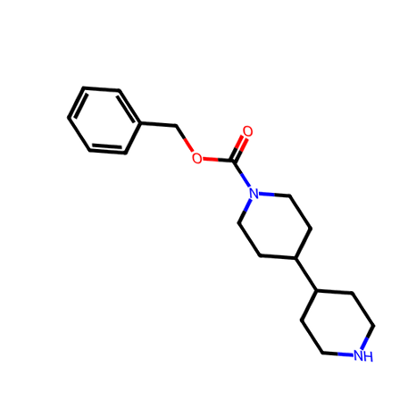 O=C(OCc1ccccc1)N1CCC(C2CCNCC2)CC1